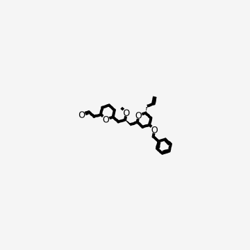 C=CC[C@@H]1CC(OCc2ccccc2)CC(C[C@@H](CC2CCCC(CC=O)O2)OC)O1